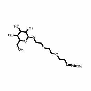 N=[N+]=NCCOCCOCCOC1OC(CO)C(O)C(O)C1O